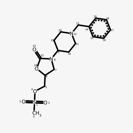 CS(=O)(=O)OCC1CN(C2CCN(Cc3ccccc3)CC2)C(=O)O1